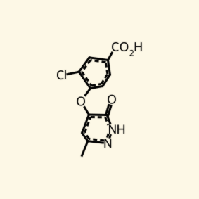 Cc1cc(Oc2ccc(C(=O)O)cc2Cl)c(=O)[nH]n1